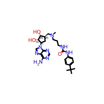 CN(CCCNC(=O)Nc1ccc(C(C)(C)C)cc1)C[C@H]1C[C@@H](n2cnc3c(N)ncnc32)[C@H](O)[C@@H]1O